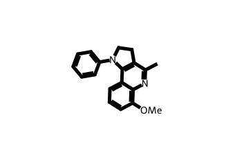 COc1cccc2c3c(c(C)nc12)CCN3c1ccccc1